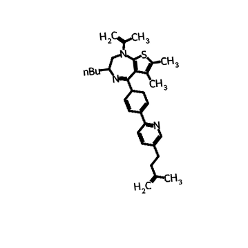 C=C(C)CCc1ccc(C2=CCC(C3=NC(CCCC)CN(C(=C)C)c4sc(C)c(C)c43)C=C2)nc1